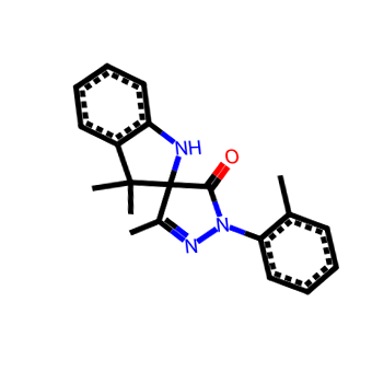 CC1=NN(c2ccccc2C)C(=O)C12Nc1ccccc1C2(C)C